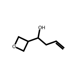 C=CCC(O)C1COC1